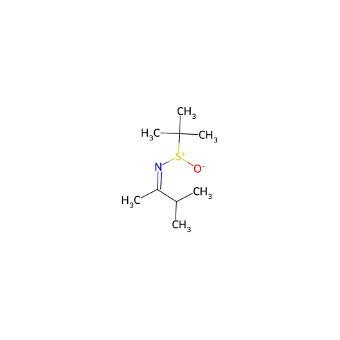 CC(=N[S+]([O-])C(C)(C)C)C(C)C